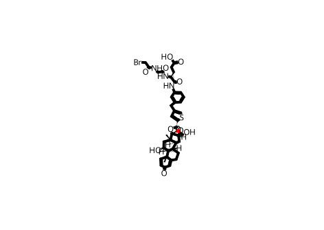 C[C@]12C=CC(=O)C=C1CC[C@@H]1[C@@H]2[C@@H](O)C[C@@]2(C)[C@H]1C[C@H]1O[C@@H](c3cc(Cc4cccc(NC(=O)[C@H](CCC(=O)O)NC(=O)CNC(=O)CBr)c4)cs3)O[C@]12C(=O)CO